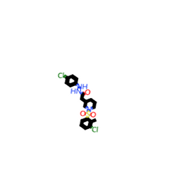 Cc1c(Cl)cccc1S(=O)(=O)N1CCCC(CC(=O)NNc2ccc(Cl)cc2)C1